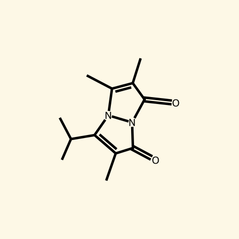 Cc1c(C)n2c(C(C)C)c(C)c(=O)n2c1=O